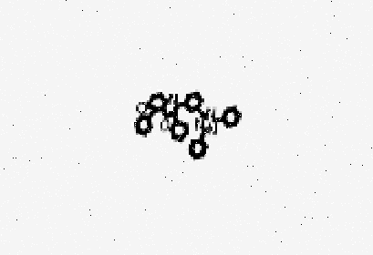 c1ccc(-c2nc(-c3ccccc3)nc(-c3cccc(-c4nc5ccc6oc7ccccc7c6c5c5oc6ccccc6c45)c3)n2)cc1